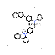 CC(C)N(c1ccc(CC(C)(C)N(c2ccccc2)c2ccc(-c3ccc4ccccc4c3)cc2)cc1)c1ccccc1-c1ccccc1